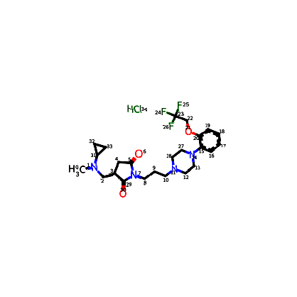 CN(CC1CC(=O)N(CCCN2CCN(c3ccccc3OCC(F)(F)F)CC2)C1=O)C1CC1.Cl